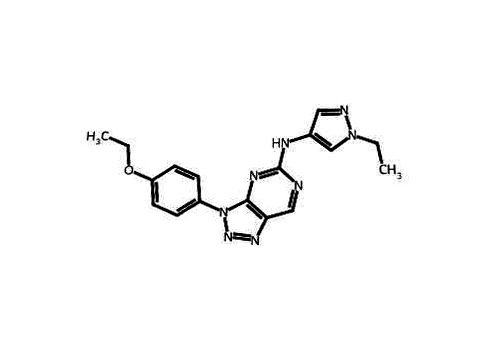 CCOc1ccc(-n2nnc3cnc(Nc4cnn(CC)c4)nc32)cc1